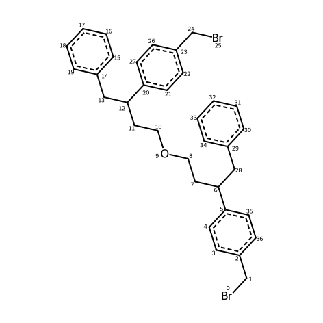 BrCc1ccc(C(CCOCCC(Cc2ccccc2)c2ccc(CBr)cc2)Cc2ccccc2)cc1